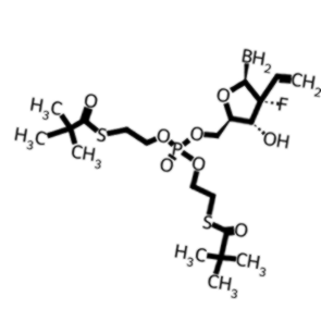 B[C@@H]1O[C@H](COP(=O)(OCCSC(=O)C(C)(C)C)OCCSC(=O)C(C)(C)C)[C@@H](O)[C@]1(F)C=C